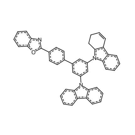 C1=Cc2c(n(-c3cc(-c4ccc(-c5nc6ccccc6o5)cc4)cc(-n4c5ccccc5c5ccccc54)c3)c3ccccc23)CC1